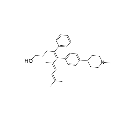 CC(C)=C/C=C(C)/C(=C(\CCCO)c1ccccc1)c1ccc(C2CCN(C)CC2)cc1